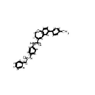 Cc1ccc(-c2ccc3c(c2)C=C(C(=O)Nc2ccc(C[S+]([O-])Cc4ccccc4)cc2)CCO3)cc1